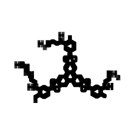 B=NN=NCCNc1cc(B2Oc3cc4c5cc6c(cc5c5cc7c(cc5c4cc3O2)OB(c2ccc(C)c(NCCB)c2)O7)OB(c2ccc(C)c(NCCB)c2)O6)ccc1CC